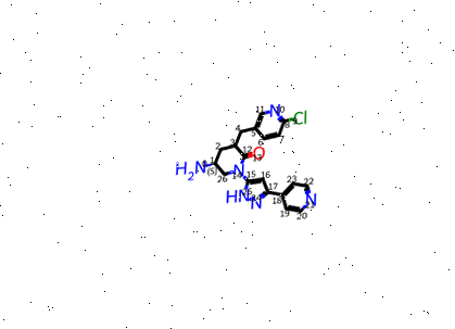 N[C@H]1CC(Cc2ccc(Cl)nc2)C(=O)N(c2cc(-c3ccncc3)n[nH]2)C1